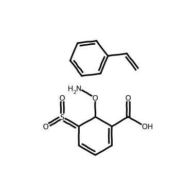 C=Cc1ccccc1.NOC1C(C(=O)O)=CC=CC1=S(=O)=O